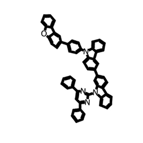 c1ccc(-c2cc(-c3ccccc3)nc(-n3c4ccccc4c4ccc(-c5ccc6c(c5)c5ccccc5n6-c5ccc(-c6ccc7oc8ccccc8c7c6)cc5)cc43)n2)cc1